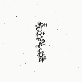 CC(C)(Oc1cc(F)c2c(c1)CCN(C(=O)CNC(=O)/C=C/c1ccc(C(F)(F)F)cc1)C2)C(=O)O